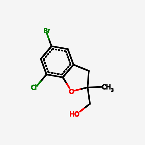 CC1(CO)Cc2cc(Br)cc(Cl)c2O1